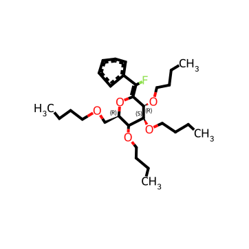 CCCCOC[C@H]1OC(=C(F)c2ccccc2)[C@H](OCCCC)[C@@H](OCCCC)C1OCCCC